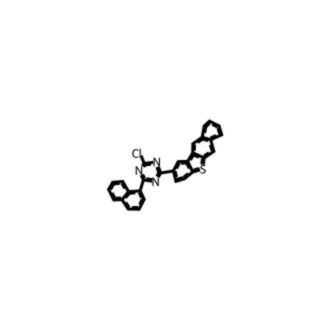 Clc1nc(-c2ccc3sc4cc5ccccc5cc4c3c2)nc(-c2cccc3ccccc23)n1